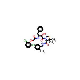 Cc1ccccc1CNC(=O)[C@H]1N(C(=O)C(O)C(Cc2ccccc2)NC(=O)COc2c(Cl)cccc2Cl)CSC1(C)C